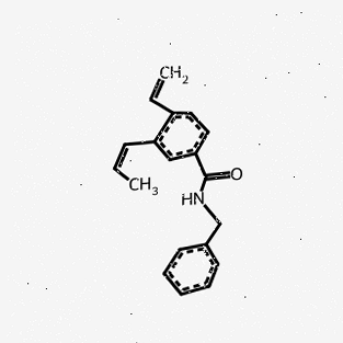 C=Cc1ccc(C(=O)NCc2ccccc2)cc1/C=C\C